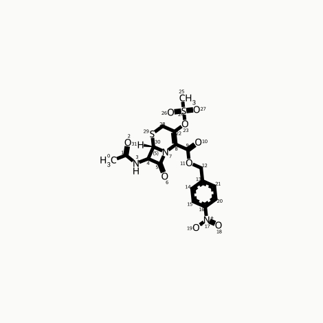 CC(=O)NC1C(=O)N2C(C(=O)OCc3ccc([N+](=O)[O-])cc3)=C(OS(C)(=O)=O)CS[C@@H]12